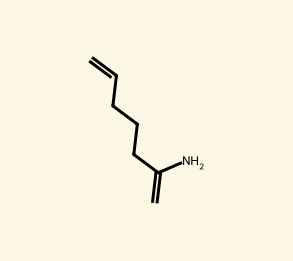 C=CCCCC(=C)N